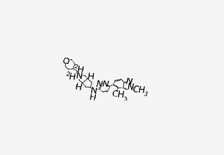 [2H]C([2H])(C1CCOCC1)N1C[C@H]2CC(Nc3ccc(-c4ccc5nn(C)cc5c4C)nn3)C[C@H]2C1